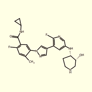 Cc1cc(F)c(C(=O)NC2CC2)cc1-n1cc(-c2cc(N[C@H]3CCNC[C@H]3O)cnc2F)cn1